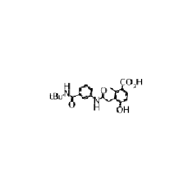 Cc1c(C(=O)O)ccc(O)c1CC(=O)Nc1cccc(C(=O)NC(C)(C)C)c1